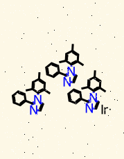 Cc1cc(C)c(-n2ccnc2-c2ccccc2)c(C)c1.Cc1cc(C)c(-n2ccnc2-c2ccccc2)c(C)c1.Cc1cc(C)c(-n2ccnc2-c2ccccc2)c(C)c1.[Ir]